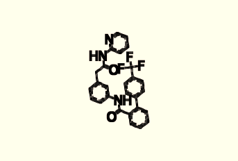 O=C(Cc1cccc(NC(=O)c2ccccc2-c2ccc(C(F)(F)F)cc2)c1)Nc1ccccn1